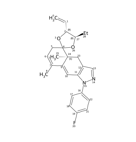 C=C[C@H]1OC2(CC=C(C)C3=Cc4c(cnn4-c4ccc(F)cc4)C[C@@]32C)O[C@@H]1CC